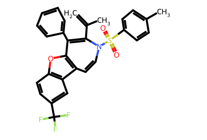 C=C(C)C1=C(c2ccccc2)c2oc3ccc(C(F)(F)F)cc3c2C=CN1S(=O)(=O)c1ccc(C)cc1